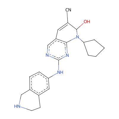 N#CC1=Cc2cnc(Nc3ccc4c(c3)CCNC4)nc2N(C2CCCC2)C1O